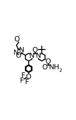 COCCc1noc(C2CC(c3ccc(OC(F)(F)F)cc3)CN(C(=O)N3CCC(OC(N)=O)CC3C(C)(C)C)C2)n1